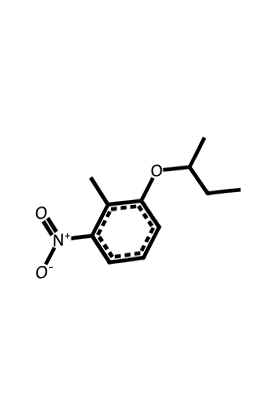 CCC(C)Oc1cccc([N+](=O)[O-])c1C